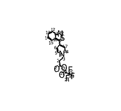 O=C(CC[n+]1ccc(-c2snc3ccccc23)cc1)OC(=O)C(F)(F)F